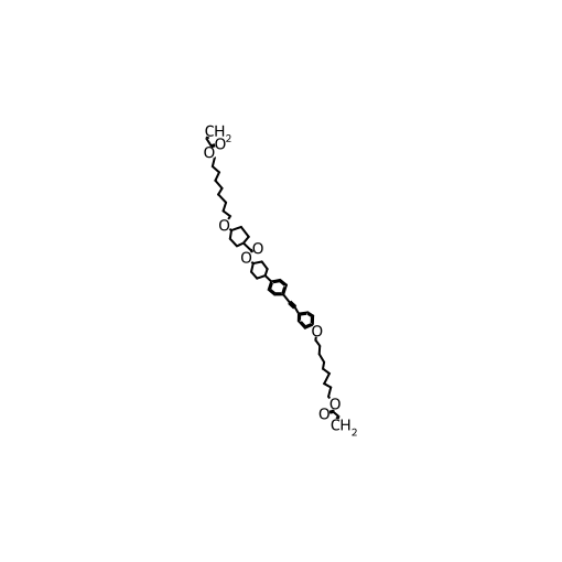 C=CC(=O)OCCCCCCCCCOc1ccc(C#Cc2ccc(C3CCC(OC(=O)C4CCC(OCCCCCCCCCOC(=O)C=C)CC4)CC3)cc2)cc1